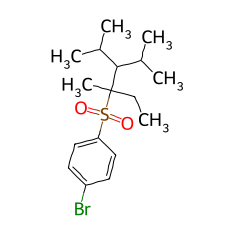 CCC(C)(C(C(C)C)C(C)C)S(=O)(=O)c1ccc(Br)cc1